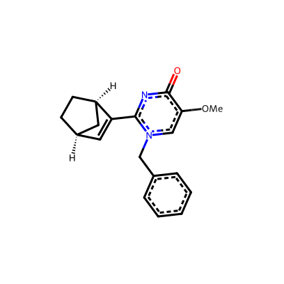 COc1cn(Cc2ccccc2)c(C2=C[C@H]3CC[C@@H]2C3)nc1=O